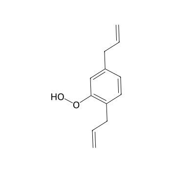 C=CCc1ccc(CC=C)c(OO)c1